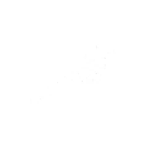 COCCCCCCCCCCOc1c(C)c(CC=C(C)C)c(C)c(OC)c1OC